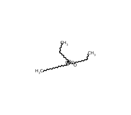 CCCC/C=C\CCCCCCCC(=O)OC[C@@H](COCCCCCCCCCCCCCCCCCC)OC(=O)CCCCCCC/C=C\CCCCCC